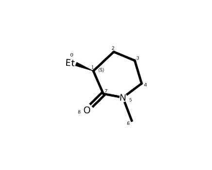 CC[C@H]1CCCN(C)C1=O